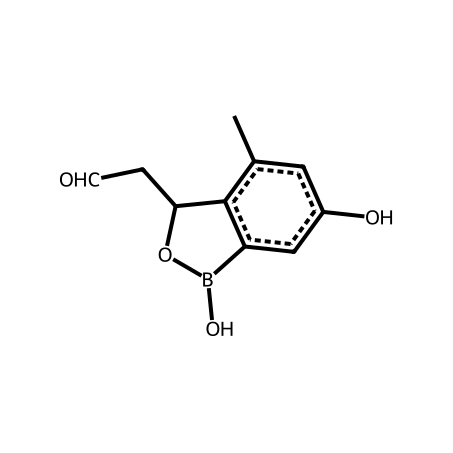 Cc1cc(O)cc2c1C(CC=O)OB2O